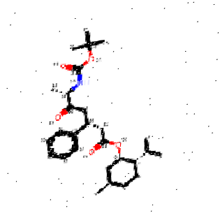 CC(C)[C@@H]1CC[C@@H](C)C[C@H]1OC(=O)C[C@@H](CC(=O)[C@H](C)NC(=O)OC(C)(C)C)c1ccccc1